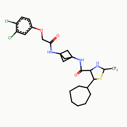 O=C(COc1ccc(Cl)c(Cl)c1)NC12CC(NC(=O)C3NC(C(F)(F)F)SC3C3CCCCCC3)(C1)C2